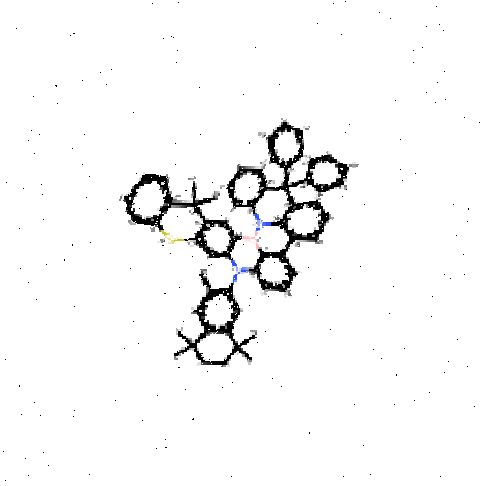 Cc1cc2c(cc1N1c3cc4c(cc3B3c5c(cccc51)-c1cccc5c1N3c1ccccc1C5(c1ccccc1)c1ccccc1)C(C)(C)c1ccccc1S4)C(C)(C)CCC2(C)C